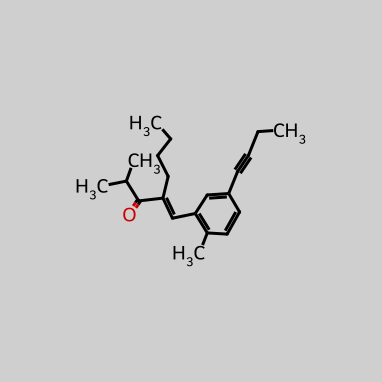 CCC#Cc1ccc(C)c(/C=C(\CCCC)C(=O)C(C)C)c1